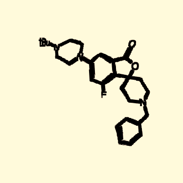 CC(C)(C)N1CCN(c2cc(F)c3c(c2)C(=O)OC32CCN(Cc3ccccc3)CC2)CC1